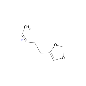 C/C=C\CCC1=COCO1